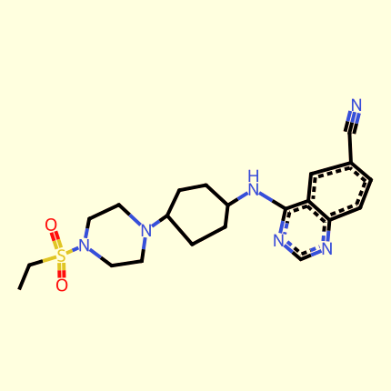 CCS(=O)(=O)N1CCN(C2CCC(Nc3ncnc4ccc(C#N)cc34)CC2)CC1